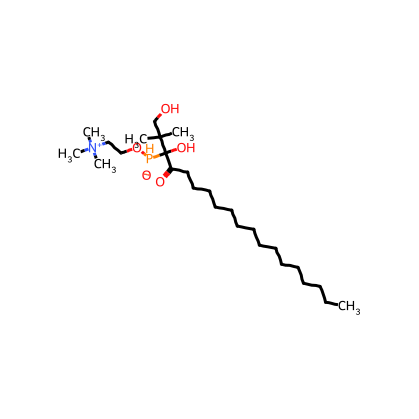 CCCCCCCCCCCCCCCC(=O)C(O)([PH](=O)OCC[N+](C)(C)C)C(C)(C)CO